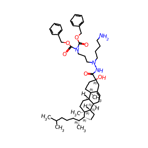 CC(C)CCC[C@@H](C)[C@H]1CC[C@H]2[C@@H]3CC=C4C[C@@](O)(C(=O)NN(CCCCN)CCCN(C(=O)OCc5ccccc5)C(=O)OCc5ccccc5)CC[C@]4(C)[C@H]3CC[C@]12C